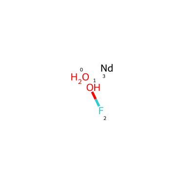 O.OF.[Nd]